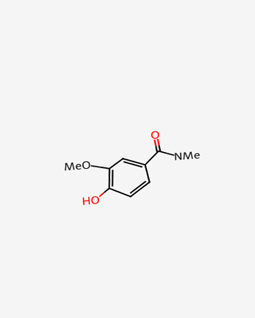 CNC(=O)c1ccc(O)c(OC)c1